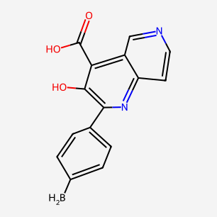 Bc1ccc(-c2nc3ccncc3c(C(=O)O)c2O)cc1